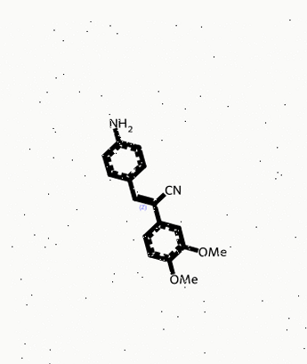 COc1ccc(/C(C#N)=C/c2ccc(N)cc2)cc1OC